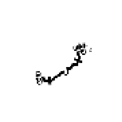 CC(C)(CCCCOCCCCC(C)(C)CCS(N)(=O)=O)CCS(C)(=O)=O